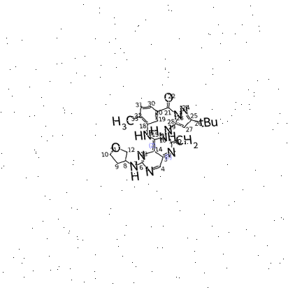 C=C/N=C1/C=NC(NC2CCOC2)=N/C1=C(/N)Nc1cc(C(=O)n2nc(C(C)(C)C)cc2N)ccc1C